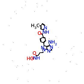 Cc1ccnc(NC(=O)c2ccc(-c3nn(CCCC(=O)NO)c4ncnc(N)c34)cc2)c1